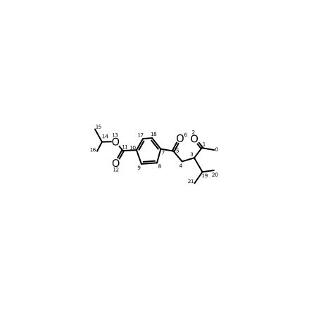 CC(=O)C(CC(=O)c1ccc(C(=O)OC(C)C)cc1)C(C)C